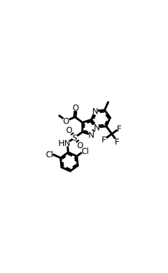 COC(=O)c1c(S(=O)(=O)Nc2c(Cl)cccc2Cl)nn2c(C(F)(F)F)cc(C)nc12